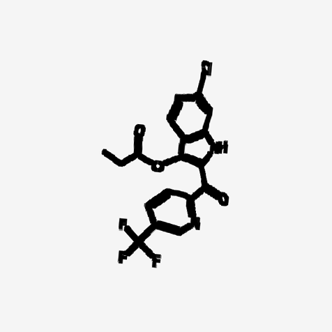 CCC(=O)Oc1c(C(=O)c2ccc(C(F)(F)F)cn2)[nH]c2cc(Cl)ccc12